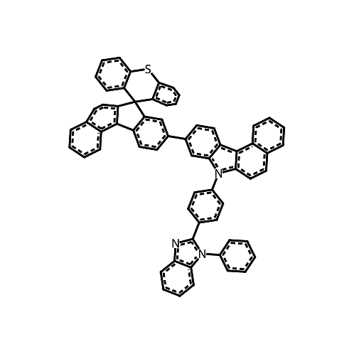 c1ccc(-n2c(-c3ccc(-n4c5cc(-c6ccc7c(c6)C6(c8ccccc8Sc8ccccc86)c6ccc8ccccc8c6-7)ccc5c5c6ccccc6ccc54)cc3)nc3ccccc32)cc1